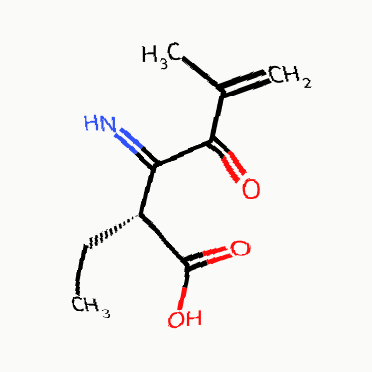 C=C(C)C(=O)C(=N)[C@@H](CC)C(=O)O